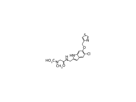 CN(CC(=O)NCc1cc2cc(Cl)c(OCc3cscn3)cc2[nH]1)C(=O)O